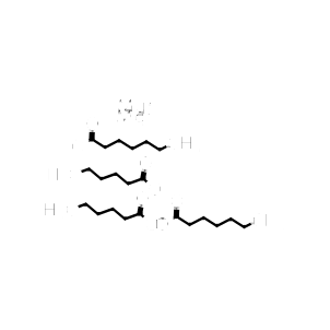 CCCCCC(=O)[O-].CCCCCC(=O)[O-].CCCCCCC(=O)[O-].CCCCCCC(=O)[O-].[Mg+2].[Mg+2]